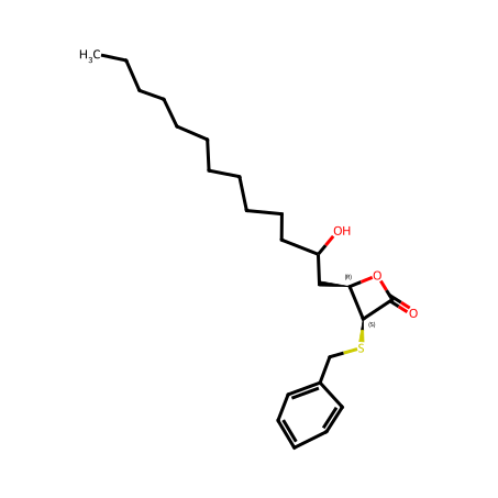 CCCCCCCCCCCC(O)C[C@H]1OC(=O)[C@H]1SCc1ccccc1